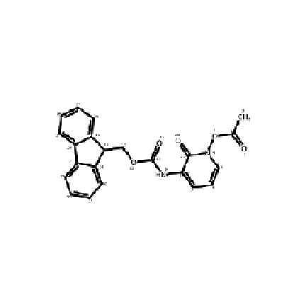 CC(=O)On1cccc(NC(=O)OCC2c3ccccc3-c3ccccc32)c1=O